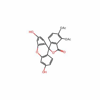 CC(=O)Oc1ccc2c(c1OC(C)=O)C(=O)OC21c2ccc(O)cc2Oc2cc(O)ccc21